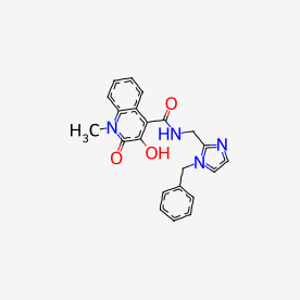 Cn1c(=O)c(O)c(C(=O)NCc2nccn2Cc2ccccc2)c2ccccc21